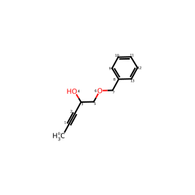 CC#CC(O)COCc1ccccc1